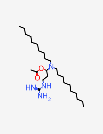 CCCCCCCCCCN(CCCCCCCCCC)C(CCNC(=N)N)OC(C)=O